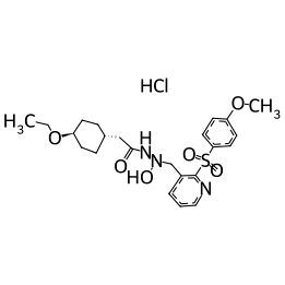 CCO[C@H]1CC[C@H](CC(=O)NN(O)Cc2cccnc2S(=O)(=O)c2ccc(OC)cc2)CC1.Cl